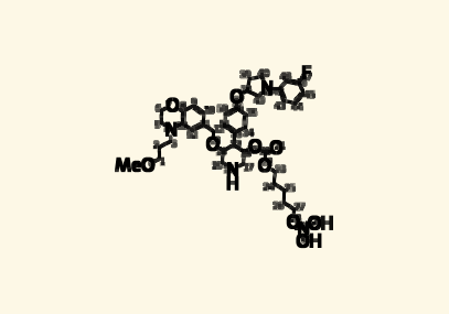 COCCCN1CCOc2ccc(COC3CNCC(OC(=O)OCCCCCON(O)O)C3c3ccc(OC4CCN(c5cccc(F)c5)C4)cc3)cc21